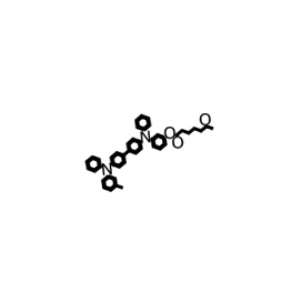 CC(=O)CCCCC(=O)Oc1cccc(N(c2ccccc2)c2ccc(-c3ccc(N(c4ccccc4)c4cccc(C)c4)cc3)cc2)c1